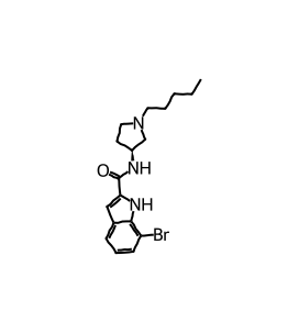 CCCCCN1CC[C@H](NC(=O)c2cc3cccc(Br)c3[nH]2)C1